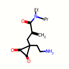 C=C(CC1(CCN)C(=O)C1=O)C(=O)N(CC)C(C)C